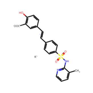 Cc1cccnc1NS(=O)(=O)c1ccc(/C=C/c2ccc(O)c(C(=O)[O-])c2)cc1.[K+]